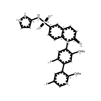 COc1cc(-c2cc(F)cnc2OC)c(F)cc1-n1c(=O)ccc2cc(S(=O)(=O)Nc3ccon3)ccc21